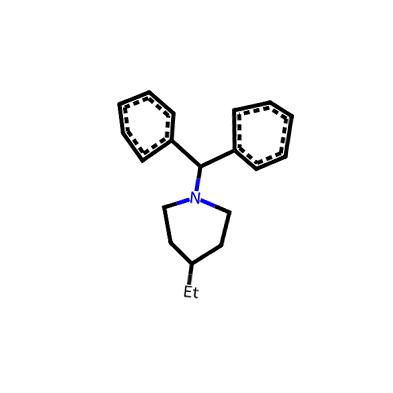 [CH2]CC1CCN(C(c2ccccc2)c2ccccc2)CC1